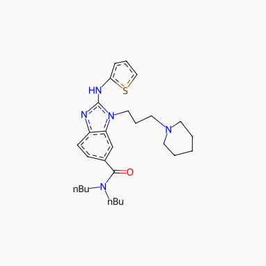 CCCCN(CCCC)C(=O)c1ccc2nc(Nc3cccs3)n(CCCN3CCCCC3)c2c1